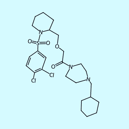 O=C(COCC1CCCCN1S(=O)(=O)c1ccc(Cl)c(Cl)c1)N1CCN(CC2CCCCC2)CC1